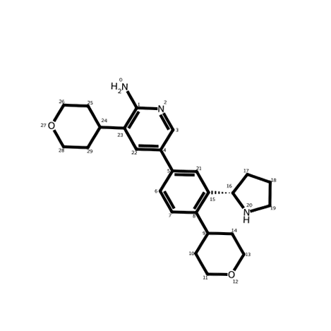 Nc1ncc(-c2ccc(C3CCOCC3)c([C@@H]3CCCN3)c2)cc1C1CCOCC1